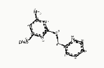 CSc1cc(N)nc(SCc2ccccn2)n1